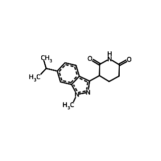 CC(C)c1ccc2c(C3CCC(=O)NC3=O)nn(C)c2c1